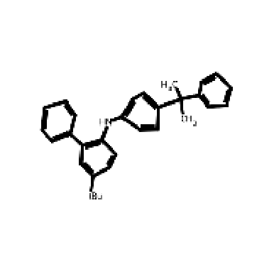 CC(C)(C)c1ccc(Nc2ccc(C(C)(C)c3ccccc3)cc2)c(-c2ccccc2)c1